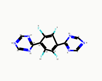 Fc1c(F)c(-c2ncncn2)c(F)c(F)c1-c1ncncn1